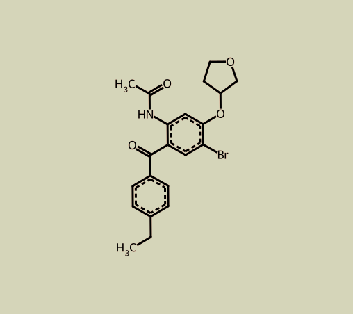 CCc1ccc(C(=O)c2cc(Br)c(OC3CCOC3)cc2NC(C)=O)cc1